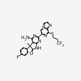 CC1(c2ccc(F)cc2)C(=O)Nc2nc(-c3cn4ccnc4c(SCCC(F)(F)F)n3)nc(N)c21